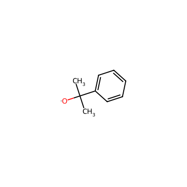 CC(C)([O])c1ccccc1